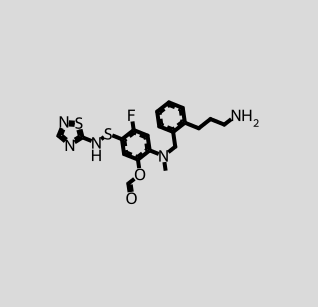 CN(Cc1ccccc1CCCN)c1cc(F)c(SNc2ncns2)cc1OC=O